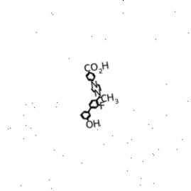 CC(c1ccc(-c2cccc(O)c2)cc1F)N1CCN(c2ccc(C(=O)O)cc2)CC1